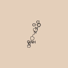 O=C(NC1CCC(CCN2CCCN(c3cccc(Cl)c3Cl)CC2)CC1)N1CCCC1